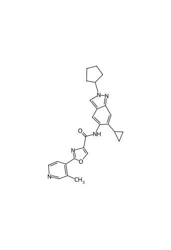 Cc1cnccc1-c1nc(C(=O)Nc2cc3cn(C4CCCC4)nc3cc2C2CC2)co1